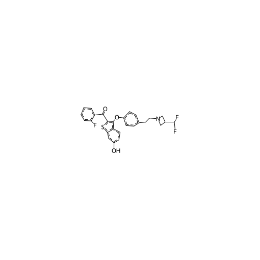 O=C(c1ccccc1F)c1sc2cc(O)ccc2c1Oc1ccc(CCN2CC(C(F)F)C2)cc1